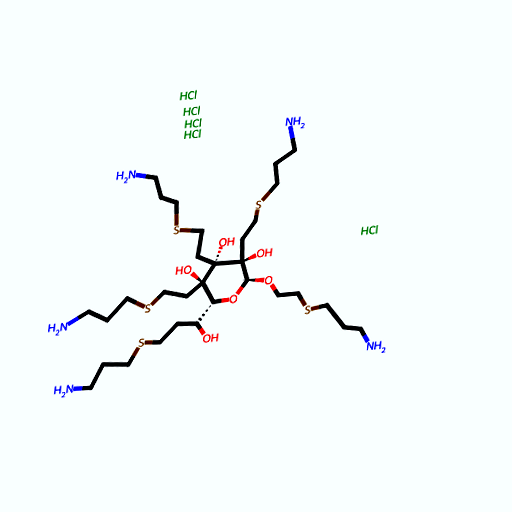 Cl.Cl.Cl.Cl.Cl.NCCCSCCO[C@H]1O[C@H](C(O)CCSCCCN)[C@](O)(CCSCCCN)[C@@](O)(CCSCCCN)[C@]1(O)CCSCCCN